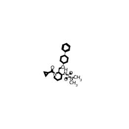 CN(C)S(=O)(=O)N[C@H]1CCCN(C(=O)C2CC2)[C@H]1CO[C@H]1CC[C@@H](c2ccccc2)CC1